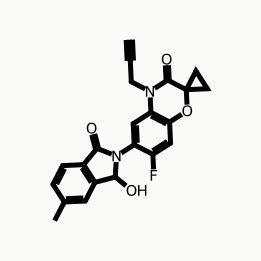 C#CCN1C(=O)C2(CC2)Oc2cc(F)c(N3C(=O)c4ccc(C)cc4C3O)cc21